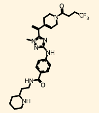 C=C(C1=CCN(C(=O)CCC(F)(F)F)CC1)c1nc(Nc2ccc(C(=O)NCCC3CCCCN3)cc2)nn1C